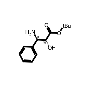 CC(C)(C)OC(=O)[C@H](O)[C@H](N)c1ccccc1